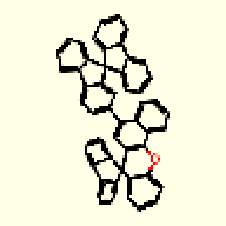 c1ccc2c(c1)Oc1c(cc(-c3ccc4c(c3)C3(c5ccccc5-c5ccccc53)c3ccccc3-4)c3ccccc13)C21c2ccccc2-c2ccccc21